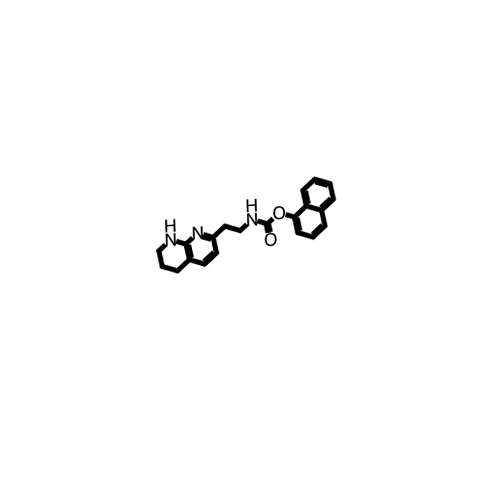 O=C(NCCc1ccc2c(n1)NCCC2)Oc1cccc2ccccc12